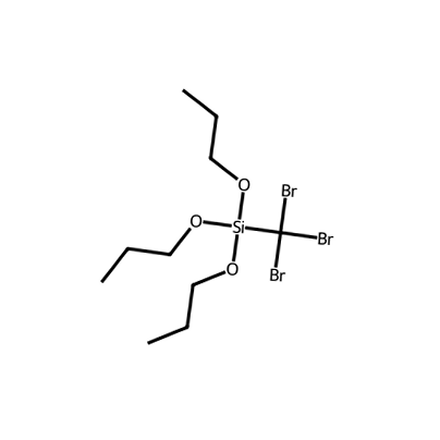 CCCO[Si](OCCC)(OCCC)C(Br)(Br)Br